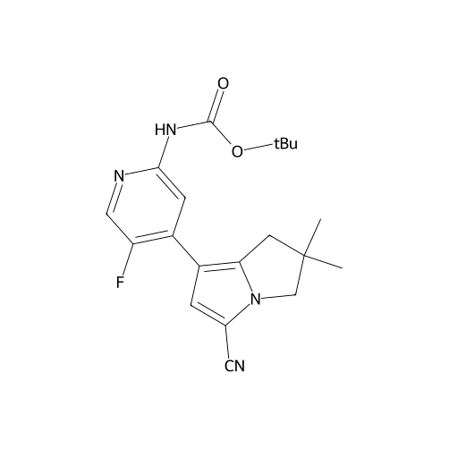 CC1(C)Cc2c(-c3cc(NC(=O)OC(C)(C)C)ncc3F)cc(C#N)n2C1